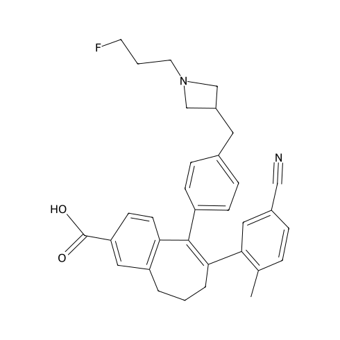 Cc1ccc(C#N)cc1C1=C(c2ccc(CC3CN(CCCF)C3)cc2)c2ccc(C(=O)O)cc2CCC1